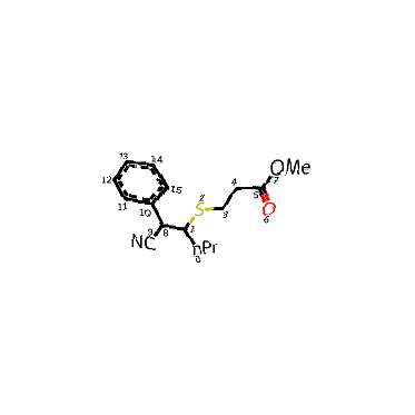 CCCC(SCCC(=O)OC)C(C#N)c1ccccc1